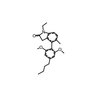 CCCCc1cc(OC)c(-c2c(C)ccc3c2CC(=O)N3CC)c(OC)c1